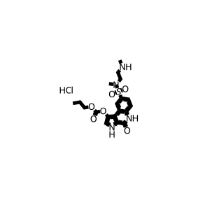 CCCOC(=O)Oc1c[nH]c2c(=O)[nH]c3ccc(S(=O)(=O)N(C)CCNC)cc3c12.Cl